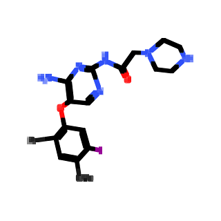 COc1cc(C(C)C)c(Oc2cnc(NC(=O)CN3CCNCC3)nc2N)cc1I